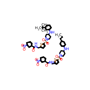 CC(C)(C)c1cccc(NC2CCN(S(=O)(=O)c3ccc(CNC(=O)c4cccc([N+](=O)[O-])c4)s3)CC2)c1.CCCc1ccc(NC2CCN(S(=O)(=O)c3ccc(CNC(=O)c4cccc([N+](=O)[O-])c4)s3)CC2)cc1